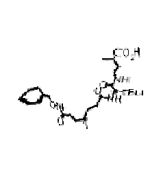 CC(CCNC(=O)[C@@H](NC(=O)CC[C@@H](C)CCC(=O)NOCc1ccccc1)C(C)(C)C)C(=O)O